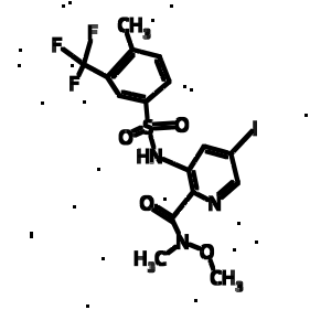 CON(C)C(=O)c1ncc(I)cc1NS(=O)(=O)c1ccc(C)c(C(F)(F)F)c1